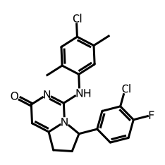 Cc1cc(Nc2nc(=O)cc3n2C(c2ccc(F)c(Cl)c2)CC3)c(C)cc1Cl